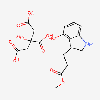 COC(=O)CCC1CNc2cccc(O)c21.O=C(O)CC(O)(CC(=O)O)C(=O)O